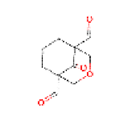 O=CC12CCCC(C=O)(COC1)C2=O